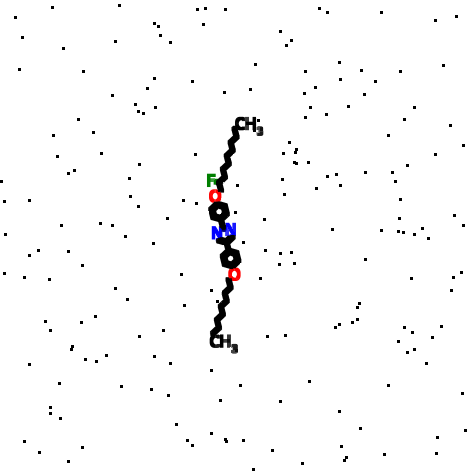 CCCCCCCCCCOc1ccc(-c2cnc(-c3ccc(OCC(F)CCCCCCCCC)cc3)nc2)cc1